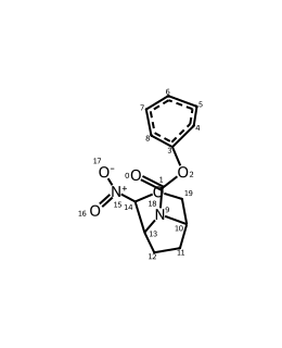 O=C(Oc1ccccc1)N1C2CCC1C([N+](=O)[O-])OC2